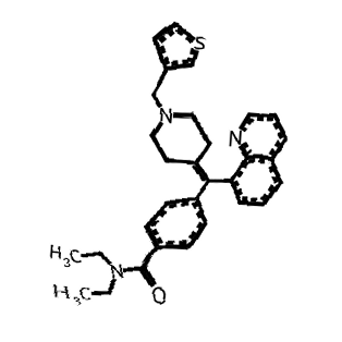 CCN(CC)C(=O)c1ccc(C(=C2CCN(Cc3ccsc3)CC2)c2cccc3cccnc23)cc1